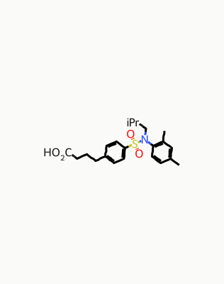 Cc1ccc(N(CC(C)C)S(=O)(=O)c2ccc(CCCC(=O)O)cc2)c(C)c1